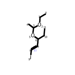 CCOC(C)OC(/C=C/I)CC